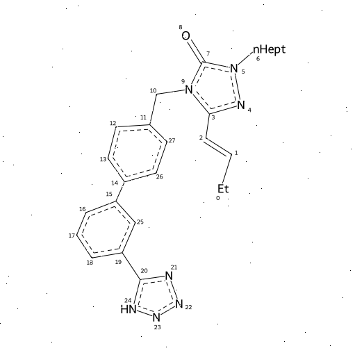 CCC=Cc1nn(CCCCCCC)c(=O)n1Cc1ccc(-c2cccc(-c3nnn[nH]3)c2)cc1